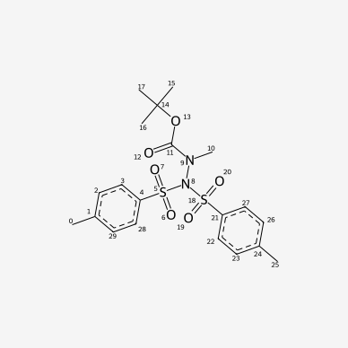 Cc1ccc(S(=O)(=O)N(N(C)C(=O)OC(C)(C)C)S(=O)(=O)c2ccc(C)cc2)cc1